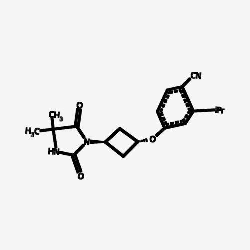 CC(C)c1cc(O[C@H]2C[C@H](N3C(=O)NC(C)(C)C3=O)C2)ccc1C#N